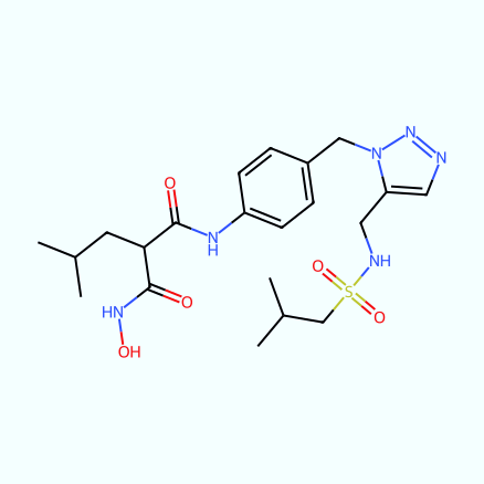 CC(C)CC(C(=O)NO)C(=O)Nc1ccc(Cn2nncc2CNS(=O)(=O)CC(C)C)cc1